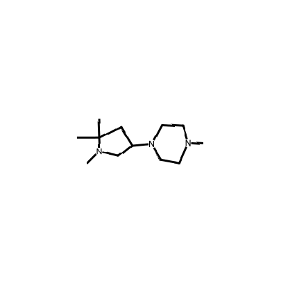 CN1CCN(C2CN(C)C(C)(C)C2)CC1